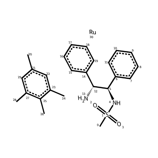 CS(=O)(=O)N[C@H](c1ccccc1)[C@H](N)c1ccccc1.Cc1cc(C)c(C)c(C)c1.[Ru]